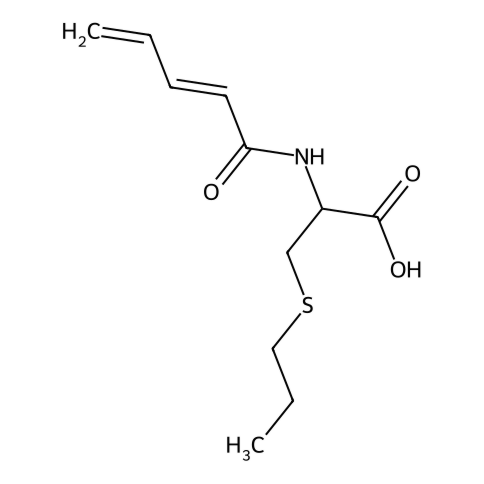 C=CC=CC(=O)NC(CSCCC)C(=O)O